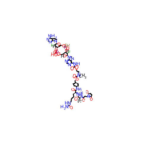 CC(C)[C@H](NC(=O)CCN1C(=O)C=CC1=O)C(=O)N[C@@H](CCCCNC(N)=O)C(=O)Nc1ccc(COC(=O)N(C)CCOC(=O)Nc2ncnc3c2ncn3[C@@H]2O[C@@H]3COP(=O)(O)O[C@@H]4/C(=C/O[P@@](=O)(S)O[C@H]3[C@H]2F)O[C@@H](n2ccc3c(N)ncnc32)[C@@H]4F)cc1